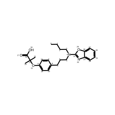 CCCCN(CCCc1ccc(OC(C)(C)C(=O)O)cc1)c1nc2ccccc2o1